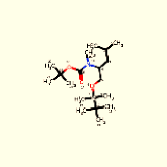 CC(C)CC(CO[Si](C)(C)C(C)(C)C)N(C)C(=O)OC(C)(C)C